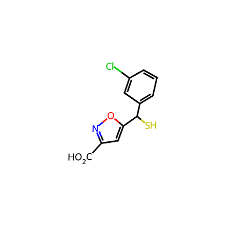 O=C(O)c1cc(C(S)c2cccc(Cl)c2)on1